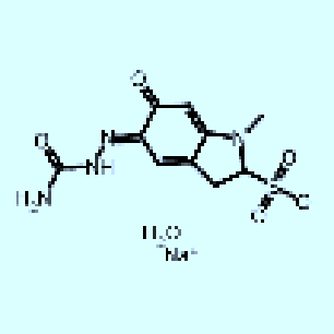 CN1C2=CC(=O)/C(=N/NC(N)=O)C=C2CC1S(=O)(=O)[O-].O.[Na+]